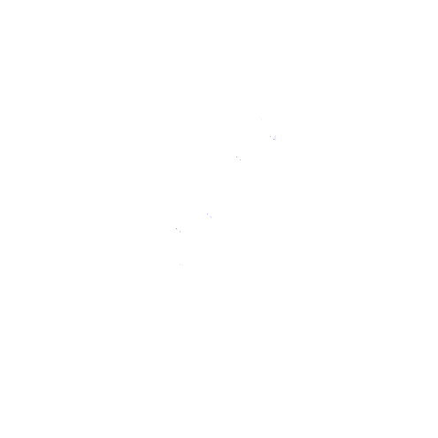 CCOc1cc2nc(Cl)nc(N3CCC(n4c(=O)[nH]c(=O)c5cccc(C)c54)CC3)c2cc1OCC